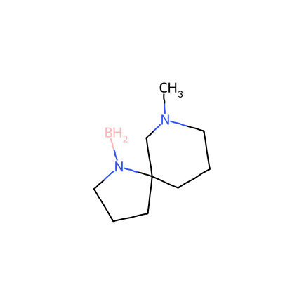 BN1CCCC12CCCN(C)C2